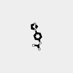 O=C(Cl)Oc1ccc(-n2ccnc2)cc1